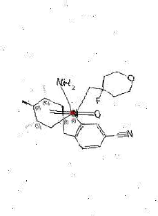 C[C@H]1[C@H](C)C[C@@]2(Cc3ccc(C#N)cc3[C@]23N=C(N)N(CC2(F)CCOCC2)C3=O)C[C@@H]1C